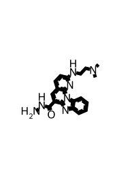 CN(C)CCNc1ccc2cc(C(=O)NN)c3nc4ccccc4n3c2n1